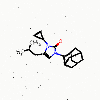 CC(C)Cc1cn(C2C3CC4CC(C3)CC2C4)c(=O)n1C1CC1